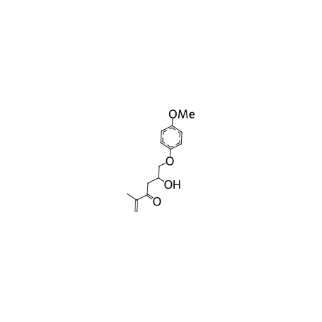 C=C(C)C(=O)CC(O)COc1ccc(OC)cc1